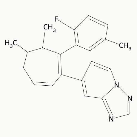 Cc1ccc(F)c(C2=C(c3ccn4ncnc4c3)C=CCC(C)C2C)c1